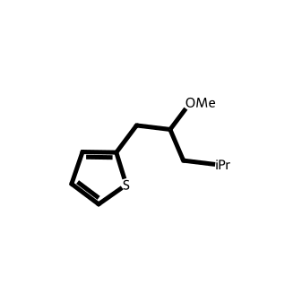 COC(Cc1cccs1)CC(C)C